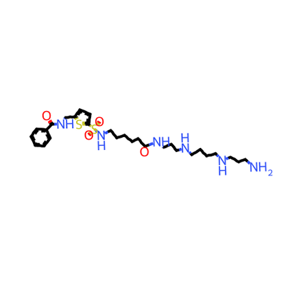 NCCCNCCCCNCCCNC(=O)CCCCCNS(=O)(=O)c1ccc(CNC(=O)c2ccccc2)s1